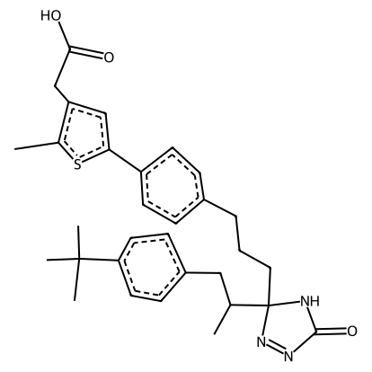 Cc1sc(-c2ccc(CCCC3(C(C)Cc4ccc(C(C)(C)C)cc4)N=NC(=O)N3)cc2)cc1CC(=O)O